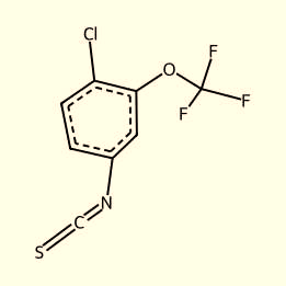 FC(F)(F)Oc1cc(N=C=S)ccc1Cl